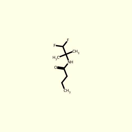 CCCC(=O)NC(C)(C)C(F)F